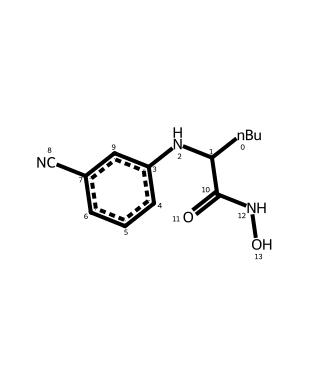 CCCCC(Nc1cccc(C#N)c1)C(=O)NO